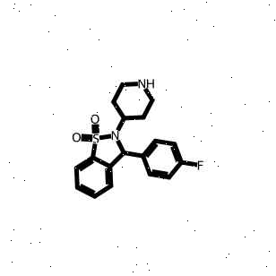 O=S1(=O)c2ccccc2C(c2ccc(F)cc2)N1C1CCNCC1